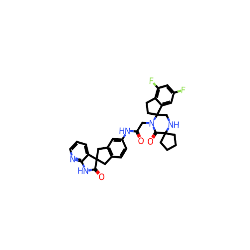 O=C(CN1C(=O)C2(CCCC2)NCC12CCc1c(F)cc(F)cc12)Nc1ccc2c(c1)CC1(C2)C(=O)Nc2ncccc21